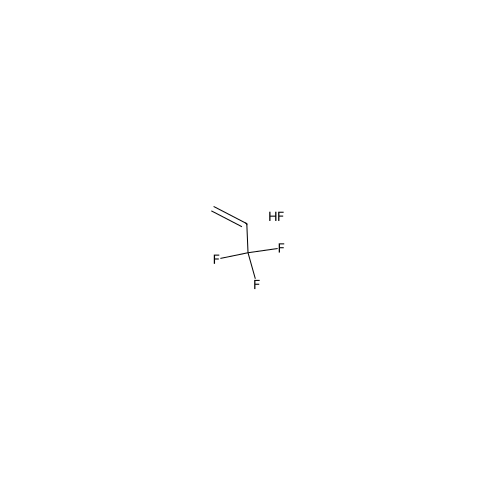 C=CC(F)(F)F.F